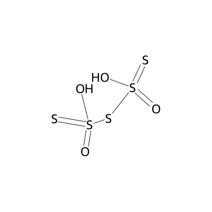 O=S(O)(=S)SS(=O)(O)=S